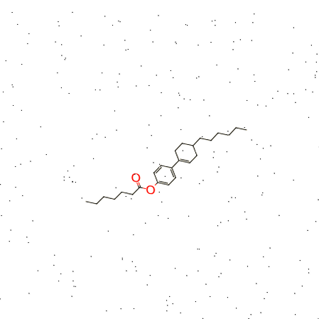 CCCCCCC(=O)Oc1ccc(C2=CCC(CCCCCC)CC2)cc1